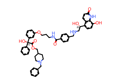 O=C(NCCCOc1cccc([C@](O)(C(=O)OCC2CCN(Cc3ccccc3)CC2)c2ccccc2)c1)c1ccc(CNC[C@H](O)c2ccc(O)c3[nH]c(=O)ccc23)cc1